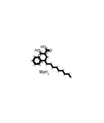 CCCCCCCCCC(CC(C(=O)O)C(=O)O)c1ccccc1.[MgH2]